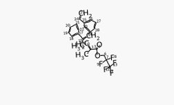 C=C(C)C(=O)OCC(F)(F)C(F)(F)F.C=C(C)c1ccccc1.C=Cc1ccccc1